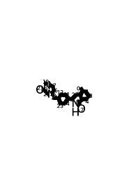 Cc1cccc2c(=O)[nH]c(-c3ccc(CN4CCN(C)C(=O)C4)cc3)cc12